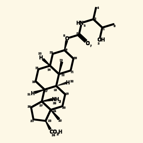 CC(O)C(C)NC(=O)O[C@H]1CC[C@@]2(C)[C@H](CC[C@@H]3[C@@H]2CC[C@]2(C)[C@@H](C(=O)O)CC[C@]32N)C1